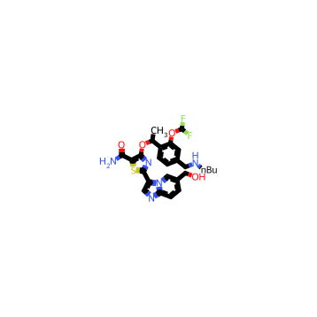 CCCCNCc1ccc(C(C)Oc2nc(-c3cnc4ccc(CO)cn34)sc2C(N)=O)c(OC(F)F)c1